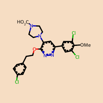 COc1c(Cl)cc(-c2cc(N3CCN(C(=O)O)CC3)c(OCCc3ccc(Cl)cc3)nn2)cc1Cl